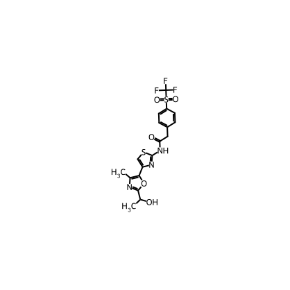 Cc1nc(C(C)O)oc1-c1csc(NC(=O)Cc2ccc(S(=O)(=O)C(F)(F)F)cc2)n1